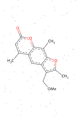 COCc1c(C)oc2c(C)c3oc(=O)cc(C)c3cc12